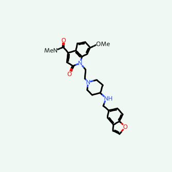 CNC(=O)c1cc(=O)n(CCN2CCC(NCc3ccc4occc4c3)CC2)c2cc(OC)ccc12